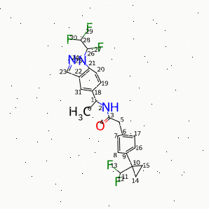 CC(NC(=O)Cc1ccc(C2(C(F)F)CC2)cc1)c1ccc2c(cnn2C(F)C(F)F)c1